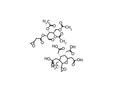 CC(=O)OC[C@@H](OC(C)=O)[C@@H](OC(C)=O)[C@@H](C=O)OC(=O)CC1CO1.C[C@]1(CC(=O)O)[C@H](CC(=O)O)[C@H](CC(=O)O)C(CC(=O)O)O[C@H]1[C@]1(C)CO1